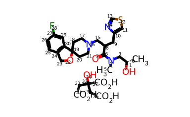 C[C@H](O)CN(C)C(=O)C(Cc1cscn1)CN1CCC2(CC1)OCc1ccc(F)cc12.O=C(O)CC(O)(CC(=O)O)C(=O)O